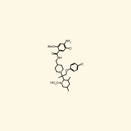 COc1cc(N)c(Cl)cc1C(=O)NCC1CCN(C(C)(COc2ccc(Cl)cc2)C2C(C)CC(C)CN2C(=O)O)CC1